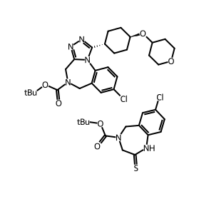 CC(C)(C)OC(=O)N1CC(=S)Nc2ccc(Cl)cc2C1.CC(C)(C)OC(=O)N1Cc2cc(Cl)ccc2-n2c(nnc2[C@H]2CC[C@H](OC3CCOCC3)CC2)C1